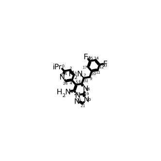 CC(C)c1ccc(-c2c([C@@H](N)Cc3cc(F)cc(F)c3)nc3ncnn3c2N)cn1